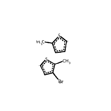 Cc1cc[c]s1.Cc1s[c]cc1Br